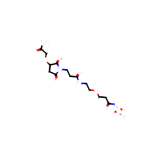 CNC(=O)CSC1CC(=O)N(CCC(=O)NCCOCCC(=O)NS(=O)(=O)C(F)(F)F)C1=O